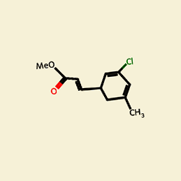 COC(=O)C=CC1C=C(Cl)C=C(C)C1